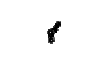 CN(C)C(CCn1ccnc1)Cc1ccc2nc(-c3ccccc3)sc2c1